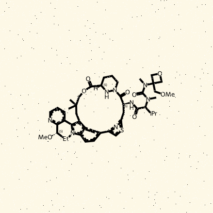 CCn1c(-c2cccnc2[C@H](C)OC)c2c3cc(ccc31)-c1csc(n1)C[C@H](NC(=O)C(C(C)C)N(C)C(=O)N(C)C1(COC)COC1)C(=O)N1CCC[C@H](N1)C(=O)OCC(C)(C)C2